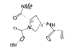 C=CC(=O)N[C@H]1C[C@@H](C(=O)NC)N(C(=O)OC(C)(C)C)C1